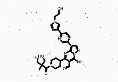 CC(CO)(CO)C(=O)N1CCC(c2nc3c(-c4ccc(-c5ccn(CCO)c5)nc4)cnn3c(N)c2C=O)CC1